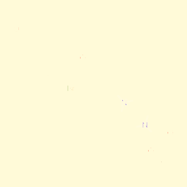 COc1ccc2c(Oc3ccc(N4CCN(C(=O)OC(C)(C)C)CC4)cc3)c(Br)sc2c1